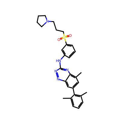 Cc1cccc(C)c1-c1cc(C)c2nc(Nc3cccc(S(=O)(=O)CCCN4CCCC4)c3)nnc2c1